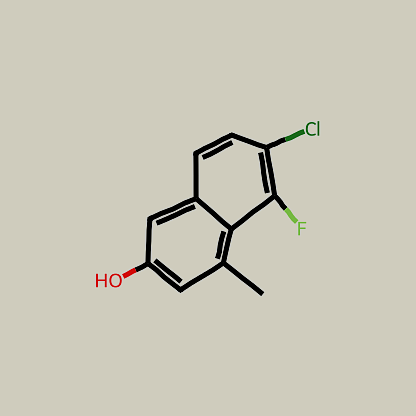 Cc1cc(O)cc2ccc(Cl)c(F)c12